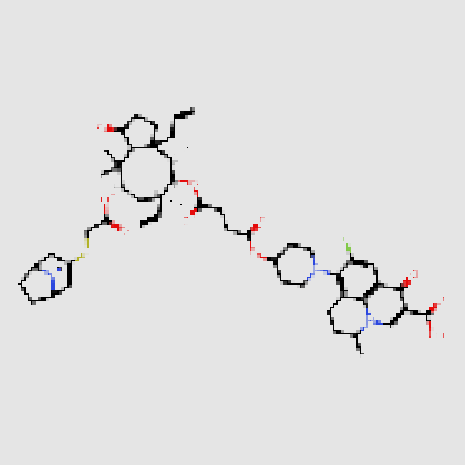 C=CCC12CCC(=O)C1C(C)(C)[C@@H](OC(=O)CSC1CC3CCC(C1)N3C)C[C@](C)(C=C)[C@H](OC(=O)CCC(=O)OC1CCN(c3c(F)cc4c(=O)c(C(=O)O)cn5c4c3CCC5C)CC1)[C@H]2C